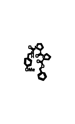 COc1ccc(CNC(=O)N2CCC[C@H]2C(=O)N2CCC[C@H]2C(=O)OCc2ccccc2)cc1